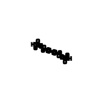 O=C(OC1CC2C(=O)NC(=O)C2C1)c1ccc(-c2ccc(C(=O)OC3CC4C(=O)NC(=O)C4C3)cc2)cc1